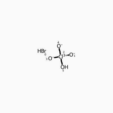 Br.[O-][Cl+3]([O-])([O-])O